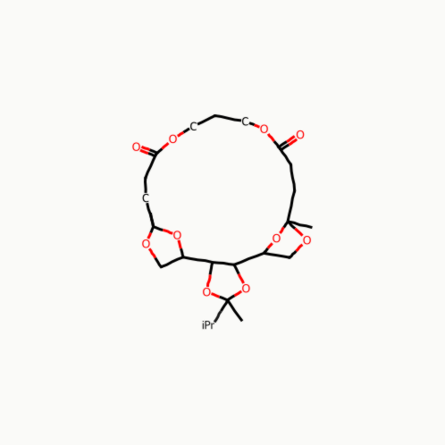 CC(C)C1(C)OC2C3COC(C)(CCC(=O)OCCCOC(=O)CCC4(C)OCC(O4)C2O1)O3